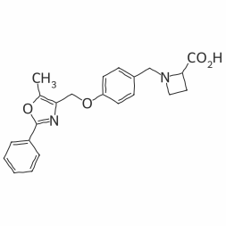 Cc1oc(-c2ccccc2)nc1COc1ccc(CN2CCC2C(=O)O)cc1